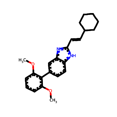 COc1cccc(OC)c1-c1ccc2[nH]c(C=CC3CCCCC3)nc2c1